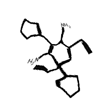 C=CC1=CC(C=C)(C2CCCC2)C(N)=C(C2CCCC2)C1N